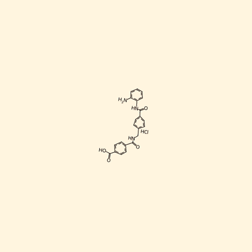 Cl.Nc1ccccc1NC(=O)c1ccc(CNC(=O)c2ccc(C(=O)O)cc2)cc1